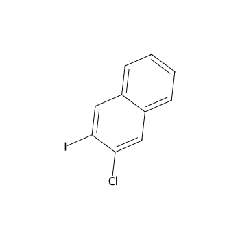 Clc1cc2ccccc2cc1I